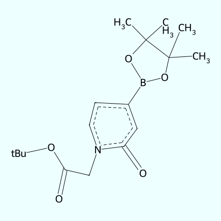 CC(C)(C)OC(=O)Cn1ccc(B2OC(C)(C)C(C)(C)O2)cc1=O